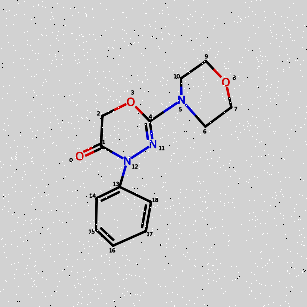 O=C1COC(N2CCOCC2)=NN1c1ccccc1